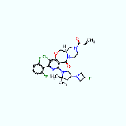 C=CC(=O)N1CCN2C(=O)c3c(N4CC(N5CC(F)C5)CC4(C)C)nc(-c4c(F)cccc4F)c(Cl)c3OC[C@H]2C1